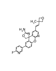 CC1(/C=C/c2cnc3c(c2)C2(COC(N)=N2)c2cc(-c4ccc(F)nc4)ccc2O3)COC1